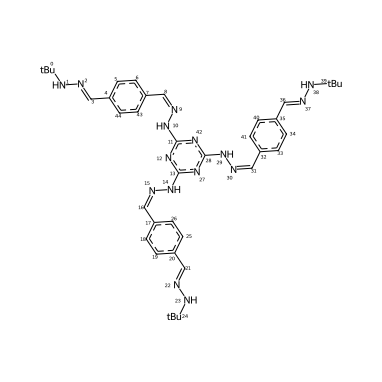 CC(C)(C)N/N=C/c1ccc(/C=N\Nc2nc(N/N=C\c3ccc(/C=N/NC(C)(C)C)cc3)nc(N/N=C\c3ccc(/C=N/NC(C)(C)C)cc3)n2)cc1